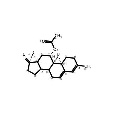 CC(=O)O[C@H]1C[C@]2(C)C(=O)CCC2C2CC=C3C=C(C)CC[C@]3(C)C21